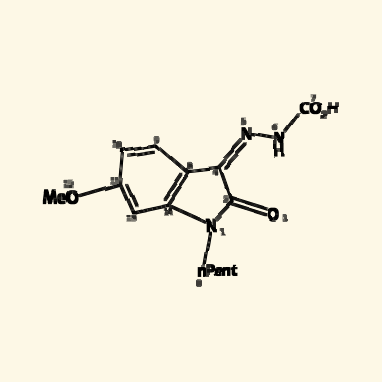 CCCCCN1C(=O)C(=NNC(=O)O)c2ccc(OC)cc21